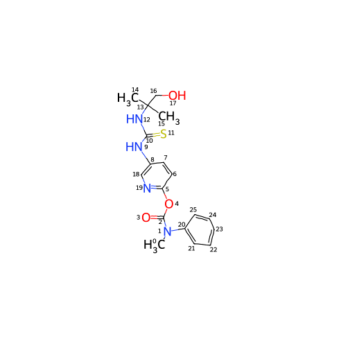 CN(C(=O)Oc1ccc(NC(=S)NC(C)(C)CO)cn1)c1ccccc1